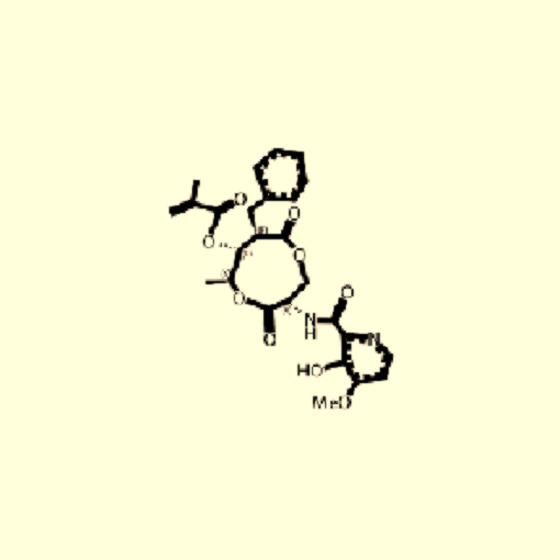 C=C(C)C(=O)O[C@H]1[C@H](C)OC(=O)[C@@H](NC(=O)c2nccc(OC)c2O)COC(=O)[C@@H]1Cc1ccccc1